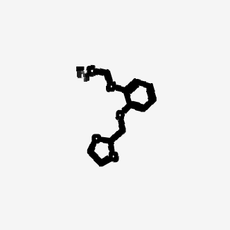 FC(F)(F)COc1ccccc1OCC1OCCO1